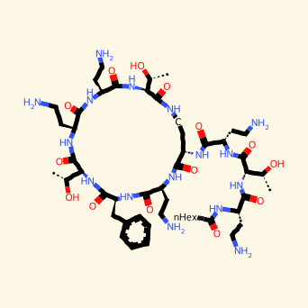 CCCCCCC(=O)N[C@@H](CCN)C(=O)N[C@H](C(=O)N[C@@H](CCN)C(=O)N[C@H]1CCNC(=O)[C@H]([C@@H](C)O)NC(=O)[C@H](CCN)NC(=O)[C@H](CCN)NC(=O)[C@H]([C@@H](C)O)NC(=O)[C@H](Cc2ccccc2)NC(=O)[C@H](CCN)NC1=O)[C@@H](C)O